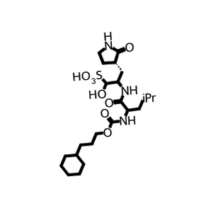 CC(C)CC(NC(=O)OCCCC1CCCCC1)C(=O)NC(C[C@@H]1CCNC1=O)C(O)S(=O)(=O)O